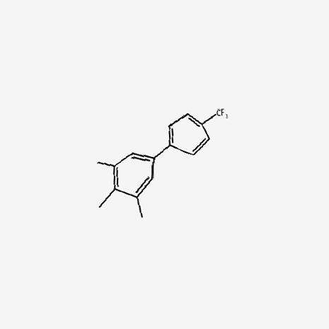 Cc1cc(-c2ccc(C(F)(F)F)cc2)cc(C)c1C